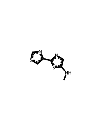 CNc1cnc(-c2cs[c]n2)s1